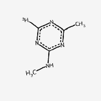 [3H]c1nc(C)nc(NC)n1